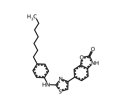 CCCCCCCc1ccc(Nc2nc(-c3ccc4[nH]c(=O)oc4c3)cs2)cc1